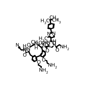 Cc1nc(-c2ccc(C(C)(C)C)cc2)ncc1C(=O)N[C@@H](CNC(=O)CN)C(=O)N(C)[C@@H]1C(=O)N[C@@H](C)C(=O)N[C@H](C(=O)NCC#N)Cc2ccc(OCCN)c(c2)-c2cc1ccc2OCCN